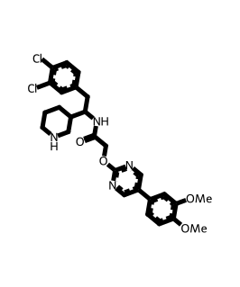 COc1ccc(-c2cnc(OCC(=O)NC(Cc3ccc(Cl)c(Cl)c3)C3CCCNC3)nc2)cc1OC